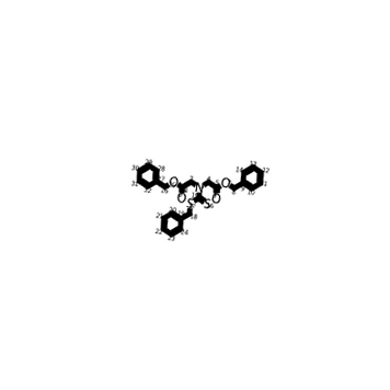 O=C(CN(CC(=O)OCc1ccccc1)C(=S)SCc1ccccc1)OCc1ccccc1